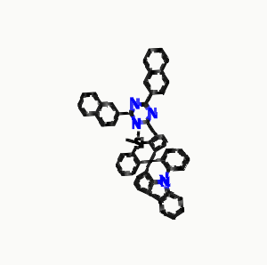 C[Si]1(C)c2ccccc2C2(c3ccccc3-n3c4ccccc4c4cccc2c43)c2cccc(-c3nc(-c4ccc5ccccc5c4)nc(-c4ccc5ccccc5c4)n3)c21